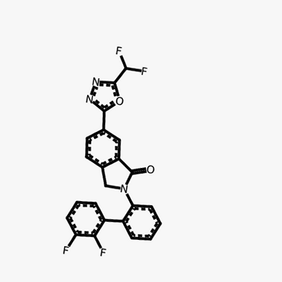 O=C1c2cc(-c3nnc(C(F)F)o3)ccc2CN1c1ccccc1-c1cccc(F)c1F